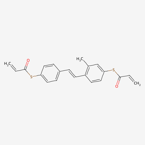 C=CC(=O)Sc1ccc(/C=C/c2ccc(SC(=O)C=C)cc2C)cc1